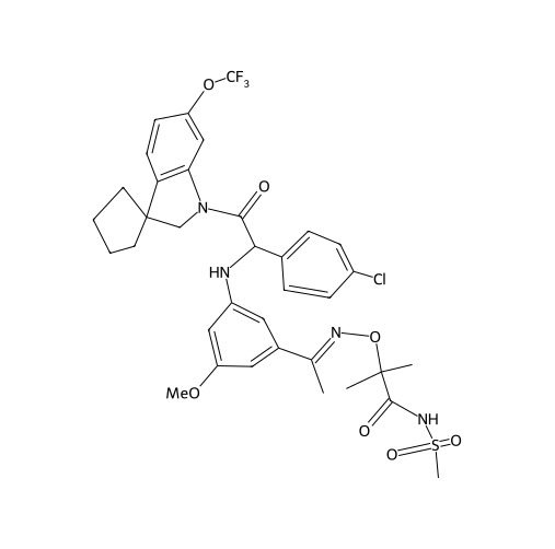 COc1cc(NC(C(=O)N2CC3(CCCC3)c3ccc(OC(F)(F)F)cc32)c2ccc(Cl)cc2)cc(C(C)=NOC(C)(C)C(=O)NS(C)(=O)=O)c1